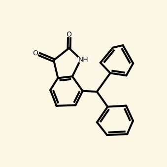 O=C1Nc2c(cccc2C(c2ccccc2)c2ccccc2)C1=O